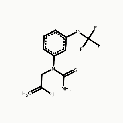 C=C(Cl)CN(C(N)=S)c1cccc(OC(F)(F)F)c1